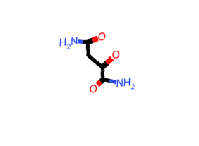 NC(=O)CC(=O)C(N)=O